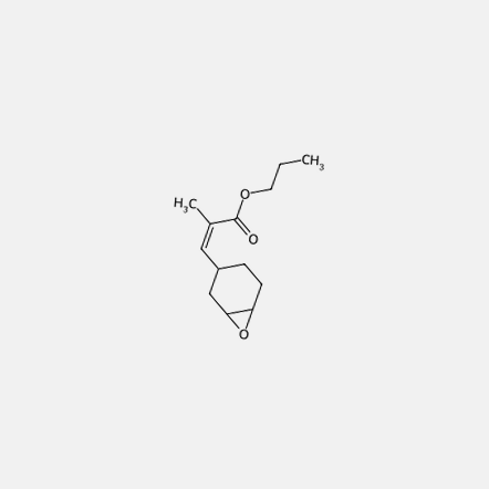 CCCOC(=O)C(C)=CC1CCC2OC2C1